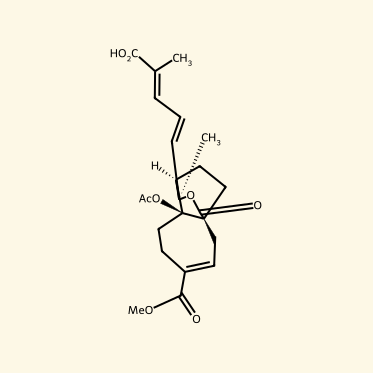 COC(=O)C1=CC[C@@]23CC[C@@H]([C@@](C)(/C=C/C=C(\C)C(=O)O)OC2=O)[C@@]3(OC(C)=O)CC1